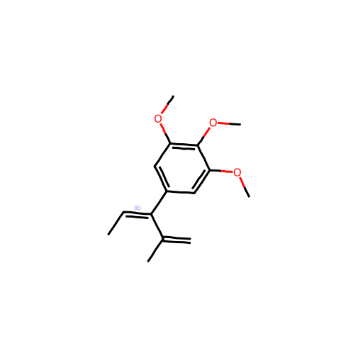 C=C(C)/C(=C\C)c1cc(OC)c(OC)c(OC)c1